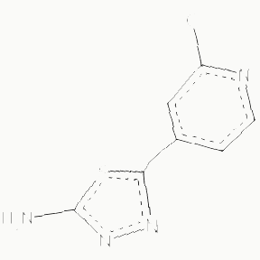 Nc1nnc(-c2ccnc(Cl)c2)s1